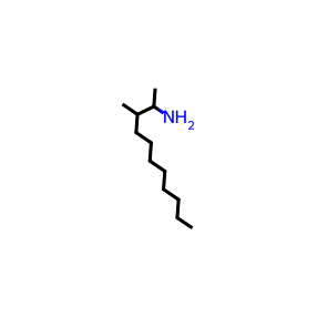 CCCCCCCCC(C)C(C)N